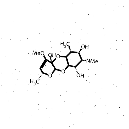 CN[C@@H]1[C@H](O)[C@H](C)C2O[C@@]3(O)C(OC)=C[C@@H](C)OC3OC2[C@H]1O